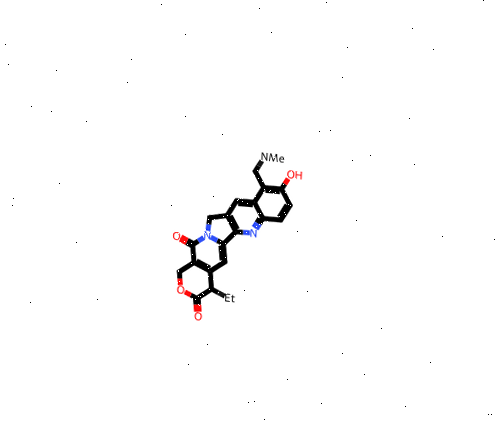 CCC1C(=O)OCc2c1cc1n(c2=O)Cc2cc3c(CNC)c(O)ccc3nc2-1